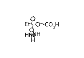 CC/C(=C(/c1ccc(/C=C/C(=O)O)cc1)c1ccc2c(c1)NNN2)c1ccccc1